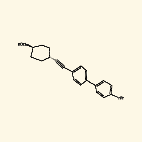 CCCCCCCC[C@H]1CC[C@H](C#Cc2ccc(-c3ccc(CCC)cc3)cc2)CC1